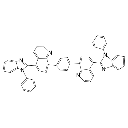 c1ccc(-n2c(-c3ccc(-c4ccc(-c5ccc(-c6nc7ccccc7n6-c6ccccc6)c6cccnc56)cc4)c4ncccc34)nc3ccccc32)cc1